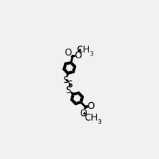 COC(=O)c1ccc(SSSc2ccc(C(=O)OC)cc2)cc1